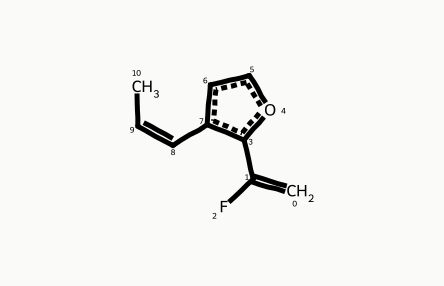 C=C(F)c1occc1/C=C\C